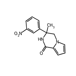 CC1(c2cccc([N+](=O)[O-])c2)Cn2cccc2C(=O)N1